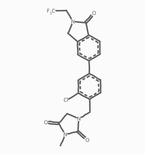 CN1C(=O)CN(Cc2ccc(-c3ccc4c(c3)CN(CC(F)(F)F)C4=O)cc2Cl)C1=O